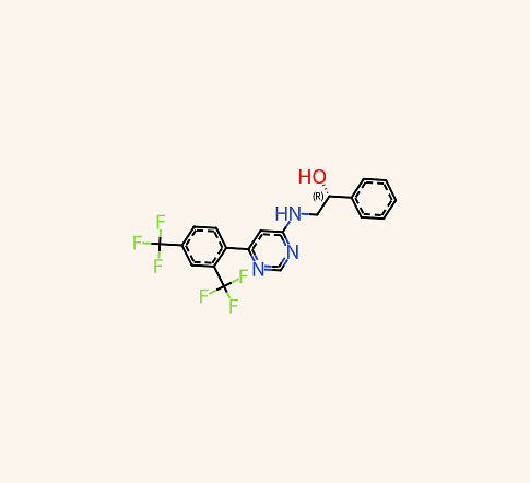 O[C@@H](CNc1cc(-c2ccc(C(F)(F)F)cc2C(F)(F)F)ncn1)c1ccccc1